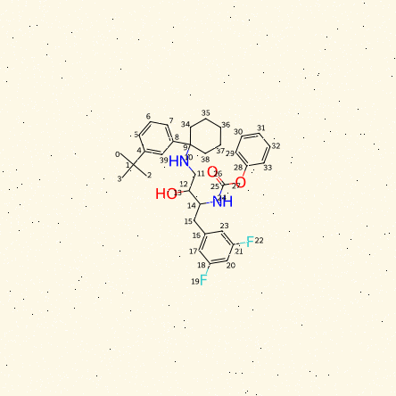 CC(C)(C)c1cccc(C2(NCC(O)C(Cc3cc(F)cc(F)c3)NC(=O)Oc3ccccc3)CCCCC2)c1